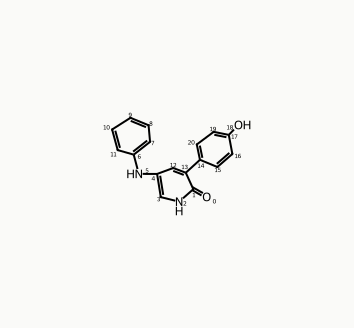 O=c1[nH]cc(Nc2ccccc2)cc1-c1ccc(O)cc1